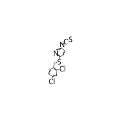 S=C=Nc1ccc(SCc2ccc(Cl)cc2Cl)nc1